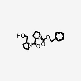 O=C(C1CCCN1C(=O)OCc1ccccc1)N1CCCC1CO